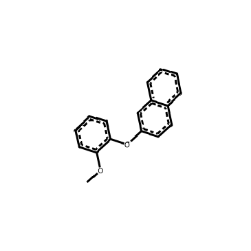 COc1ccccc1Oc1ccc2ccccc2c1